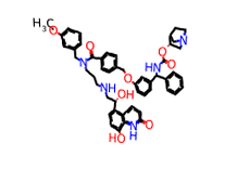 COc1cccc(CN(CCCNC[C@H](O)c2ccc(O)c3[nH]c(=O)ccc23)C(=O)c2ccc(COc3cccc([C@@H](NC(=O)O[C@H]4CN5CCC4C5)c4ccccc4)c3)cc2)c1